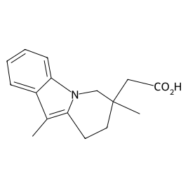 Cc1c2n(c3ccccc13)CC(C)(CC(=O)O)CC2